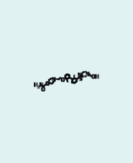 Cc1c(OCCCN2CCC3(CC2)CC(C(N)=O)C3)cccc1-c1cccc(-c2nc3c(s2)CN(CCO)CC3)c1C